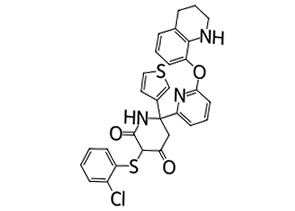 O=C1CC(c2ccsc2)(c2cccc(Oc3cccc4c3NCCC4)n2)NC(=O)C1Sc1ccccc1Cl